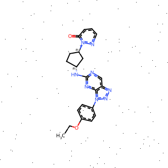 CCOc1ccc(-n2nnc3cnc(N[C@@H]4CC[C@@H](n5ncccc5=O)C4)nc32)cc1